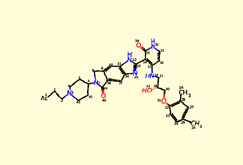 CC(=O)CCN1CCC(N2Cc3cc4[nH]c(-c5c(NC[C@@H](O)COc6ccc(C)cc6C)cc[nH]c5=O)nc4cc3C2=O)CC1